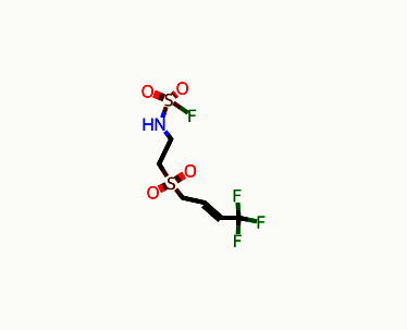 O=S(=O)(CC=CC(F)(F)F)CCNS(=O)(=O)F